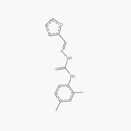 Cc1ccc(NC(=S)NN=Cc2ccco2)c(C)c1